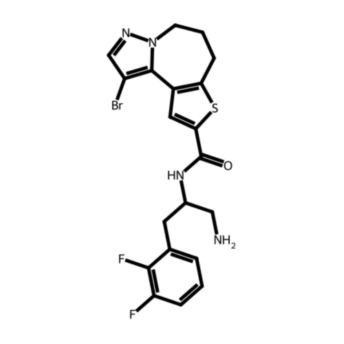 NCC(Cc1cccc(F)c1F)NC(=O)c1cc2c(s1)CCCn1ncc(Br)c1-2